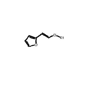 CCOC=Cc1cc[c]o1